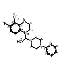 OC(N1CCN(c2ncccn2)CC1)N1CCOc2c1ccc(F)c2C(F)(F)F